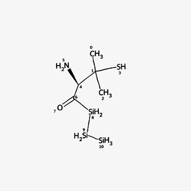 CC(C)(S)[C@H](N)C(=O)[SiH2][SiH2][SiH3]